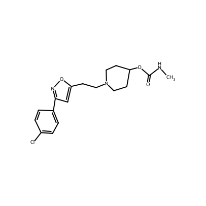 CNC(=O)OC1CCN(CCc2cc(-c3ccc(Cl)cc3)no2)CC1